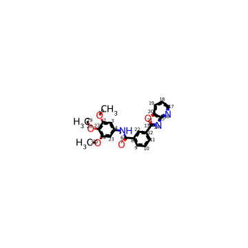 COc1cc(NC(=O)c2cccc(-c3nc4ncccc4o3)c2)cc(OC)c1OC